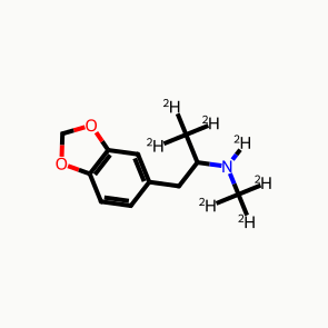 [2H]N(C(Cc1ccc2c(c1)OCO2)C([2H])([2H])[2H])C([2H])([2H])[2H]